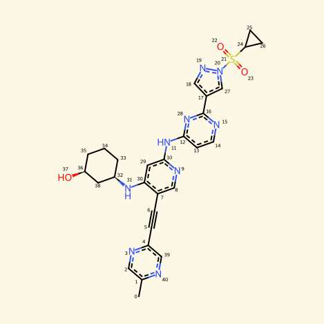 Cc1cnc(C#Cc2cnc(Nc3ccnc(-c4cnn(S(=O)(=O)C5CC5)c4)n3)cc2N[C@@H]2CCC[C@H](O)C2)cn1